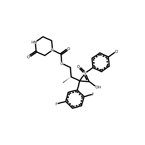 C[C@H](COC(=O)N1CCNC(=O)C1)C1(c2cc(F)ccc2F)C(O)=S1(=O)c1ccc(Cl)cc1